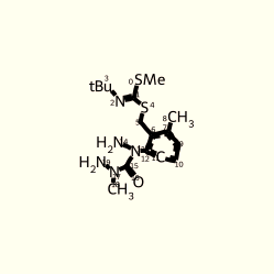 CSC(=NC(C)(C)C)SCc1c(C)cccc1N(N)C(=O)N(C)N